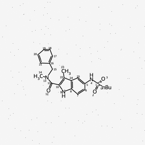 CCCCS(=O)(=O)Nc1ccc2[nH]c(C(=O)N(C)Cc3ccccc3)c(C)c2c1